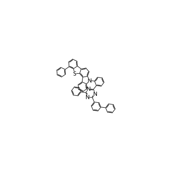 c1ccc(-c2cccc(-c3nc(-c4ccccc4)nc(-c4ccccc4-n4c5ccccc5c5c6sc7c(-c8ccccc8)cccc7c6ccc54)n3)c2)cc1